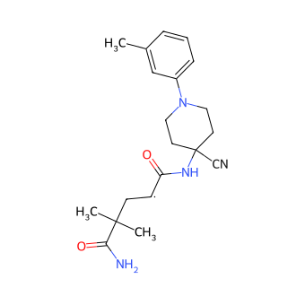 Cc1cccc(N2CCC(C#N)(NC(=O)[CH]CC(C)(C)C(N)=O)CC2)c1